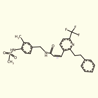 Cc1cc(CNC(=O)/C=C\c2ccc(C(F)(F)F)nc2CCc2ccccc2)ccc1NS(C)(=O)=O